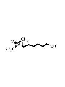 C[SH](C)(=O)CCCCCCO